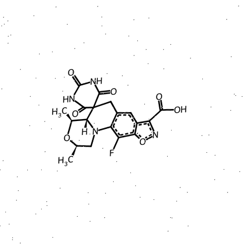 C[C@@H]1CN2c3c(cc4c(C(=O)O)noc4c3F)CC3(C(=O)NC(=O)NC3=O)[C@H]2[C@H](C)O1